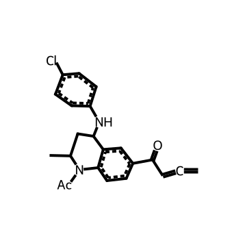 C=C=CC(=O)c1ccc2c(c1)C(Nc1ccc(Cl)cc1)CC(C)N2C(C)=O